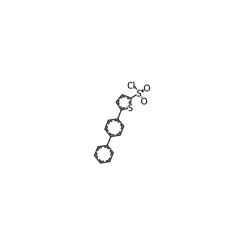 O=S(=O)(Cl)c1ccc(-c2ccc(-c3ccccc3)cc2)s1